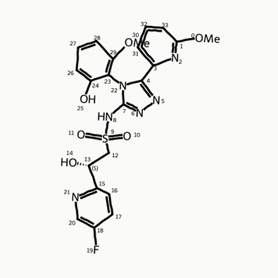 COC1=NC(c2nnc(NS(=O)(=O)C[C@@H](O)c3ccc(F)cn3)n2-c2c(O)cccc2OC)=C=C=C1